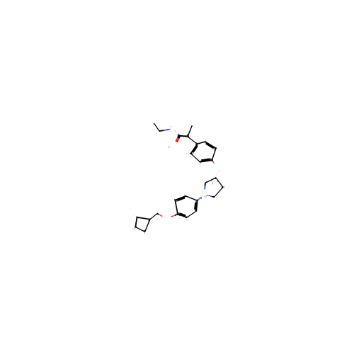 CCNC(=O)C(C)c1ccc(O[C@@H]2CCN(c3ccc(OCC4CCC4)cc3)C2)cc1